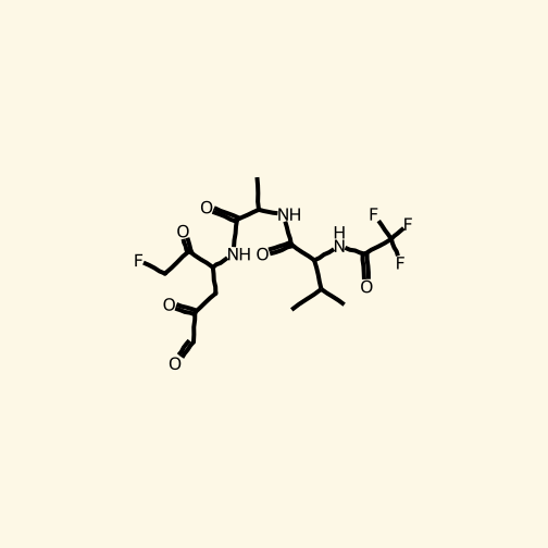 CC(NC(=O)C(NC(=O)C(F)(F)F)C(C)C)C(=O)NC(CC(=O)C=O)C(=O)CF